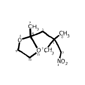 CC(C)(C[N+](=O)[O-])CC1(C)OCCO1